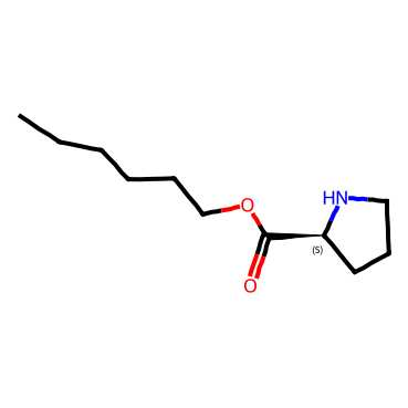 CCCCCCOC(=O)[C@@H]1CCCN1